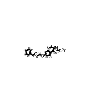 CCCc1nc2cnc3cc(OCCOCc4ccccc4)ccc3c2s1